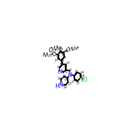 COc1cc(-c2cncc(CN(c3ccc(Cl)cc3)C3CCNCC3)c2)cc(OC)c1OC